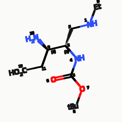 CCNC[C@H](NC(=O)OC(C)(C)C)[C@H](N)CC(=O)O